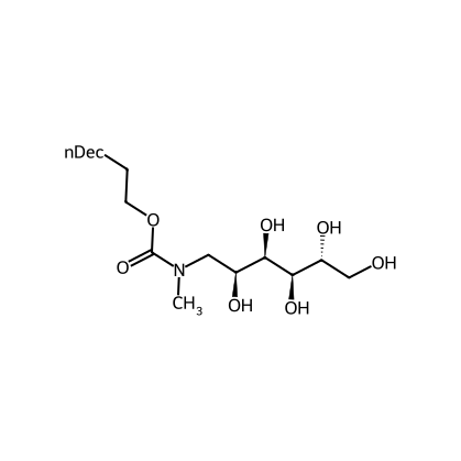 CCCCCCCCCCCCOC(=O)N(C)C[C@H](O)[C@@H](O)[C@H](O)[C@H](O)CO